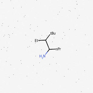 CCCC(N)C(CC)C(C)(C)C